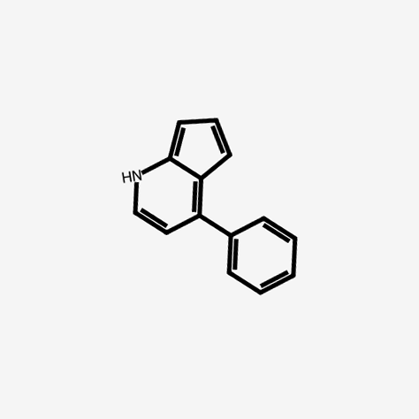 c1ccc(-c2cc[nH]c3cccc2-3)cc1